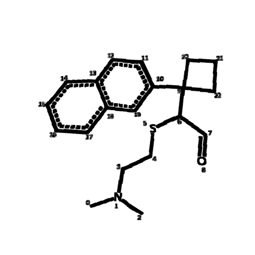 CN(C)CCSC(C=O)C1(c2ccc3ccccc3c2)CCC1